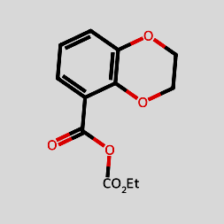 CCOC(=O)OC(=O)c1cccc2c1OCCO2